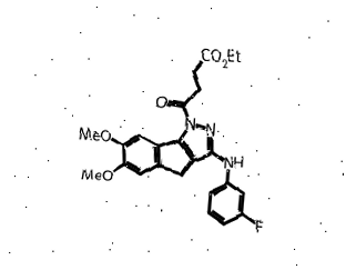 CCOC(=O)CCC(=O)n1nc(Nc2cccc(F)c2)c2c1-c1cc(OC)c(OC)cc1C2